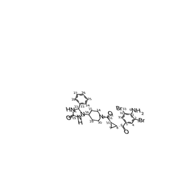 Nc1c(Br)cc(C(=O)[C@@H]2C[C@H]2C(=O)N2CCC(N3NC(=O)NC3c3ccccc3)CC2)cc1Br